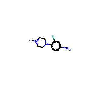 CC(C)(C)N1CCN(c2ccc(N)cc2F)CC1